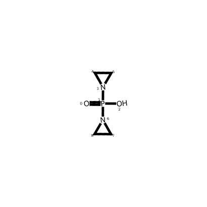 O=P(O)(N1CC1)N1CC1